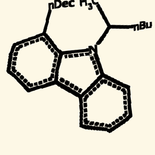 CCCCCCCCCCc1cccc2c3ccccc3n(C(C)CCCC)c12